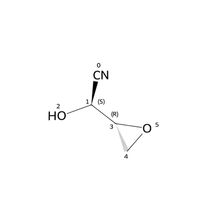 N#C[C@H](O)[C@H]1CO1